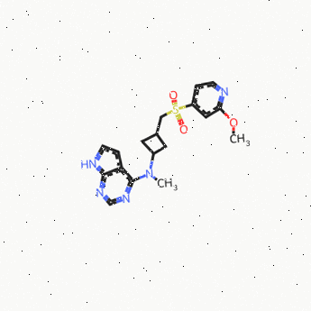 COc1cc(S(=O)(=O)CC2CC(N(C)c3ncnc4[nH]ccc34)C2)ccn1